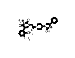 Cc1cccc(-c2cn(CC(=O)N3CCC(N4C=C(c5ccccc5)NC4O)CC3)c(=O)n(C)c2=O)c1C